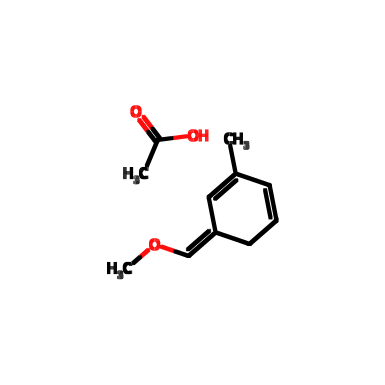 CC(=O)O.COC=C1C=C(C)C=CC1